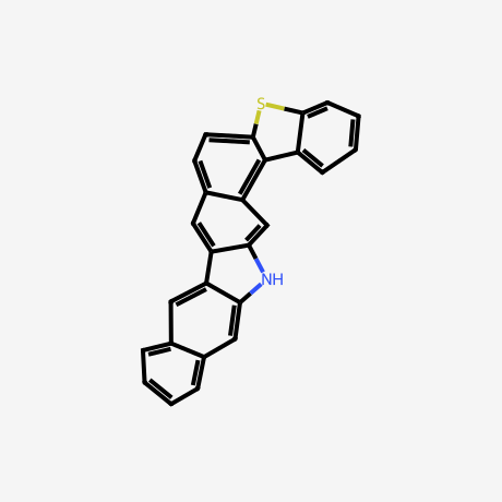 c1ccc2cc3c(cc2c1)[nH]c1cc2c(ccc4sc5ccccc5c42)cc13